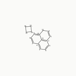 C1=Cc2cccc3cccc(c23)C1.[CH]1CCC1